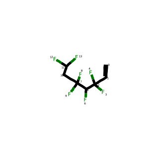 C=CC(F)(F)C(F)C(F)(F)CC(F)F